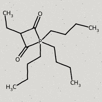 CCCCP1(CCCC)(CCCC)C(=O)C(CC)C1=O